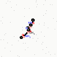 COc1cc2c(Oc3ccc(NC(=O)c4ccccc4)cc3)ccnc2cc1OCCC[C@H](N)C(=O)OC1CCCC1